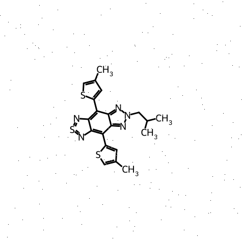 Cc1csc(-c2c3c(c(-c4cc(C)cs4)c4nn(CC(C)C)nc24)N=S=N3)c1